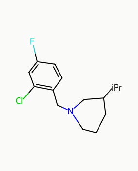 CC(C)C1CCCN(Cc2ccc(F)cc2Cl)C1